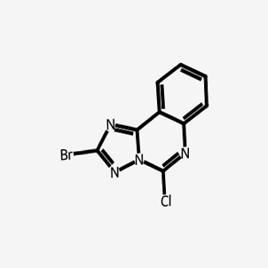 Clc1nc2ccccc2c2nc(Br)nn12